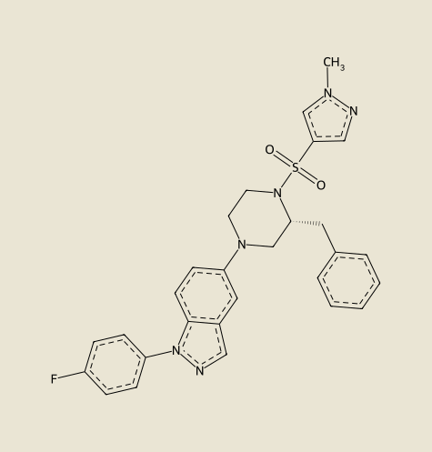 Cn1cc(S(=O)(=O)N2CCN(c3ccc4c(cnn4-c4ccc(F)cc4)c3)C[C@H]2Cc2ccccc2)cn1